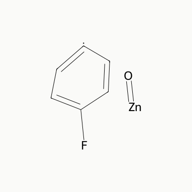 Fc1cc[c]cc1.[O]=[Zn]